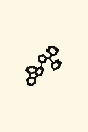 c1ccc(N(c2cccc(-c3ccc4c5c(cccc35)-c3ccccc3-4)c2)c2ccccn2)nc1